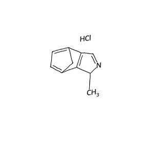 CC1N=CC2=C1C1=CC=C2C1.Cl